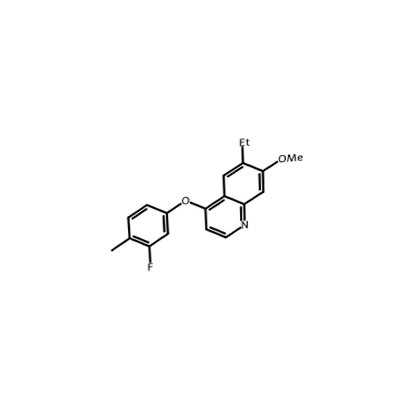 CCc1cc2c(Oc3ccc(C)c(F)c3)ccnc2cc1OC